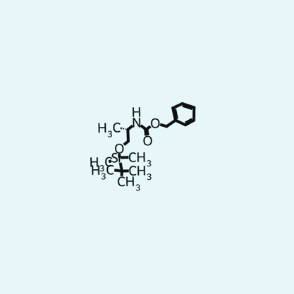 C[C@@H](CO[Si](C)(C)C(C)(C)C)NC(=O)OCc1ccccc1